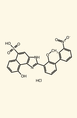 COc1c(-c2cccc([N+](=O)[O-])c2)cccc1-c1nc2c(cc(S(=O)(=O)O)c3cccc(O)c32)[nH]1.Cl